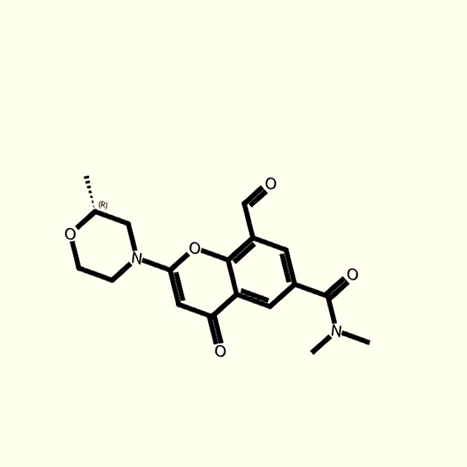 C[C@@H]1CN(c2cc(=O)c3cc(C(=O)N(C)C)cc(C=O)c3o2)CCO1